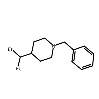 CCC(CC)C1CCN(Cc2ccccc2)CC1